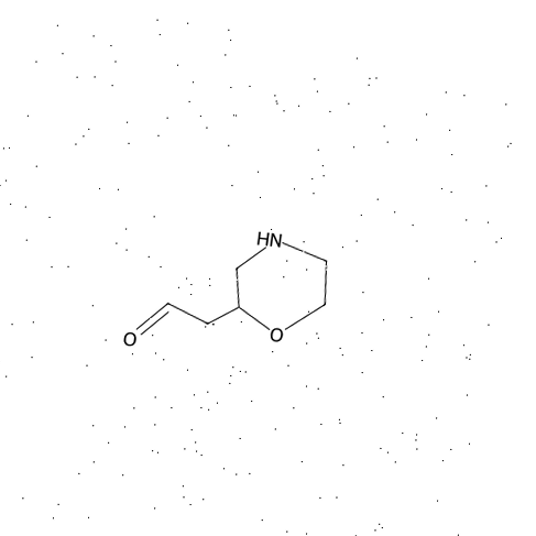 O=C[CH]C1CNCCO1